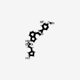 CC(C)Oc1ccc(-c2ncc(-c3cccc4c3CC[C@@H]4NS(=O)(=O)CCC3CC[C@@H](O)C3)s2)cc1C#N